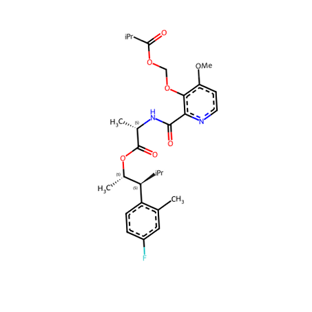 COc1ccnc(C(=O)N[C@@H](C)C(=O)O[C@@H](C)[C@H](c2ccc(F)cc2C)C(C)C)c1OCOC(=O)C(C)C